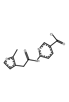 Cc1occc1CC(=O)Nc1ccc(C(=O)Cl)cn1